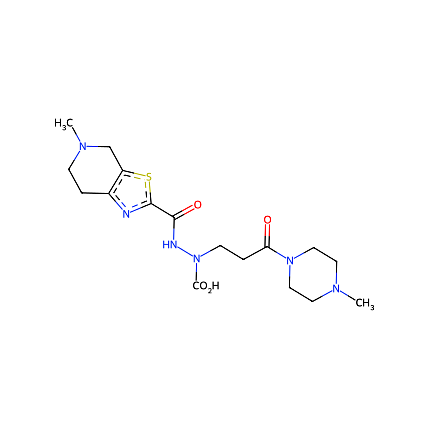 CN1CCN(C(=O)CCN(NC(=O)c2nc3c(s2)CN(C)CC3)C(=O)O)CC1